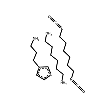 NCCCCCCN.NCCCn1ccnc1.O=C=NCCCCCCN=C=O